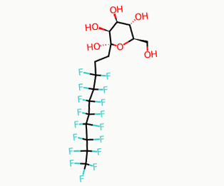 OC[C@H]1O[C@@](O)(CCC(F)(F)C(F)(F)C(F)(F)C(F)(F)C(F)(F)C(F)(F)C(F)(F)C(F)(F)F)[C@@H](O)[C@@H](O)[C@@H]1O